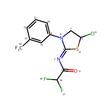 O=C(N=C1SC(Cl)CN1c1cccc(C(F)(F)F)c1)C(F)F